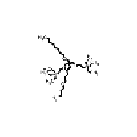 CCCCCCCCOCC(CCCCCOCCCC)(COCC[N+](CC)(CC)CC)COCC[N+](CC)(CC)CC